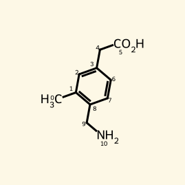 Cc1cc(CC(=O)O)ccc1CN